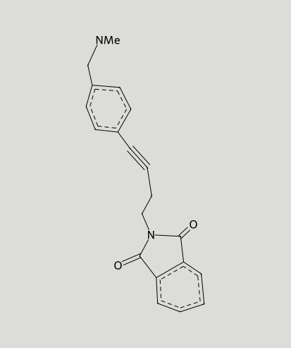 CNCc1ccc(C#CCCN2C(=O)c3ccccc3C2=O)cc1